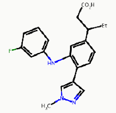 CCC(CC(=O)O)c1ccc(-c2cnn(C)c2)c(Nc2cccc(F)c2)c1